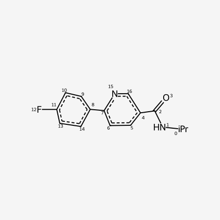 CC(C)NC(=O)c1ccc(-c2ccc(F)cc2)nc1